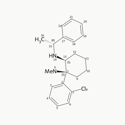 CN[C@]1(c2ccccc2Cl)CCCC[C@@H]1N[C@H](C)c1ccccc1